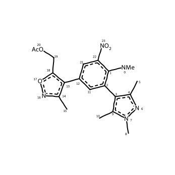 CNc1c(-c2c(C)nn(C)c2C)cc(-c2c(C)noc2COC(C)=O)cc1[N+](=O)[O-]